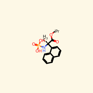 CC(C)OC(=O)[C@@](C)(NP(=O)(O)O)c1cccc2ccccc12